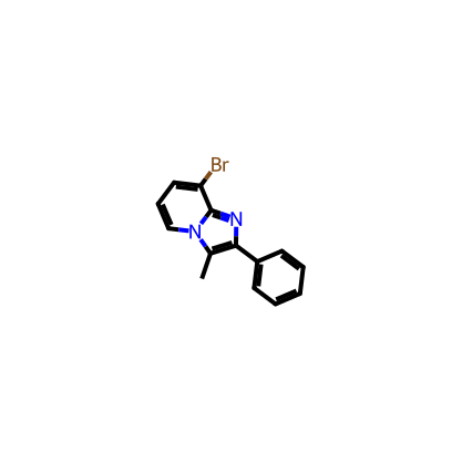 Cc1c(-c2ccccc2)nc2c(Br)cccn12